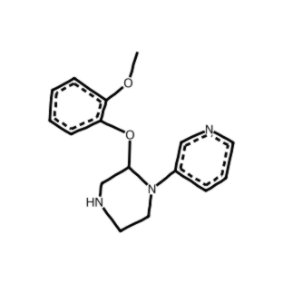 COc1ccccc1OC1CNCCN1c1cccnc1